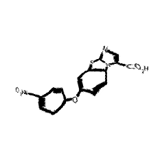 O=C(O)c1cnc2sc3cc(Oc4ccc([N+](=O)[O-])cc4)ccc3n12